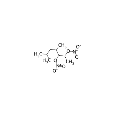 CC(C)CC(C)C(O[N+](=O)[O-])C(C)O[N+](=O)[O-]